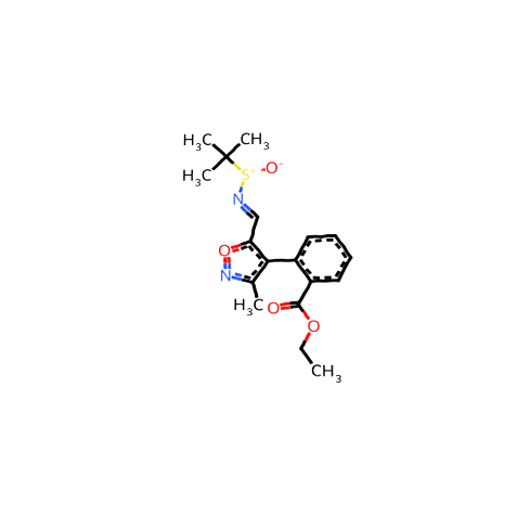 CCOC(=O)c1ccccc1-c1c(C)noc1/C=N/[S@@+]([O-])C(C)(C)C